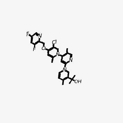 CC1=CC(OCc2ncc(F)cc2F)=C(Cl)CN1c1cc(N2C=CC(C)=C(C(C)(C)O)C2)ncc1C